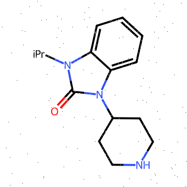 CC(C)n1c(=O)n(C2CCNCC2)c2ccccc21